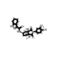 C[C@]12O[C@](C)(C[C@H]1NC(=O)c1n[nH]c3ccccc13)[C@H]1C(=O)N(c3ccc(C#N)c(C(F)(F)F)c3)C(=O)[C@H]12